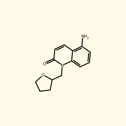 Nc1cccc2c1ccc(=O)n2CC1CCCO1